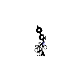 Cc1ccc(-c2ccc(/C=C3\SC(=S)N([C@@H](CC(C)C)C(=O)O)C3=O)nc2)cc1